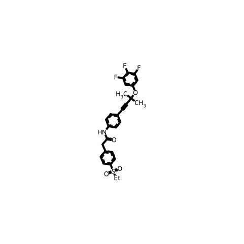 CCS(=O)(=O)c1ccc(CC(=O)Nc2ccc(C#CC(C)(C)Oc3cc(F)c(F)c(F)c3)cc2)cc1